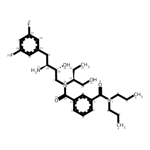 CCCN(CCC)C(=O)c1cccc(C(=O)N(C[C@@H](O)[C@@H](N)Cc2cc(F)cc(F)c2)[C@@H](CC)CO)c1